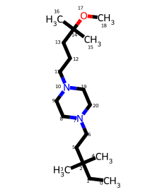 CCC(C)(C)CCN1CCN(CCCC(C)(C)OC)CC1